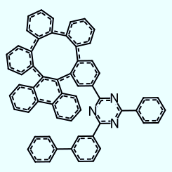 c1ccc(-c2cccc(-c3nc(-c4ccccc4)nc(-c4ccc5c6ccccc6c6ccccc6c6ccccc6c6c7ccccc7c7ccccc7c6c5c4)n3)c2)cc1